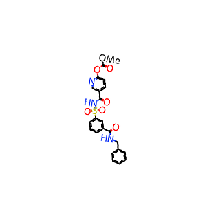 COC(=O)Oc1ccc(C(=O)NS(=O)(=O)c2cccc(C(=O)NCc3ccccc3)c2)cn1